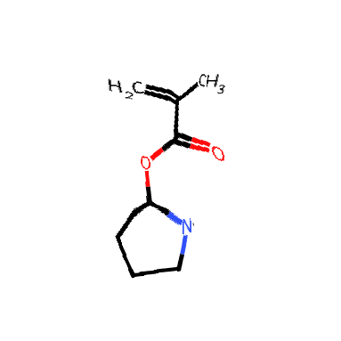 C=C(C)C(=O)OC1CCC[N]1